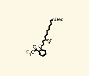 CCCCCCCCCCCCCCCCCC(CCOc1ccccc1C(=O)C(F)(F)F)N(C)C